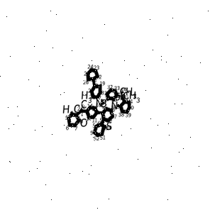 CC1(C)c2ccccc2Oc2cc3c(cc21)N(c1ccc(-c2ccccc2)cc1)B1c2cccc4c2N(c2ccccc2[Si]4(C)C)c2cc4sc5ccccc5c4c-3c21